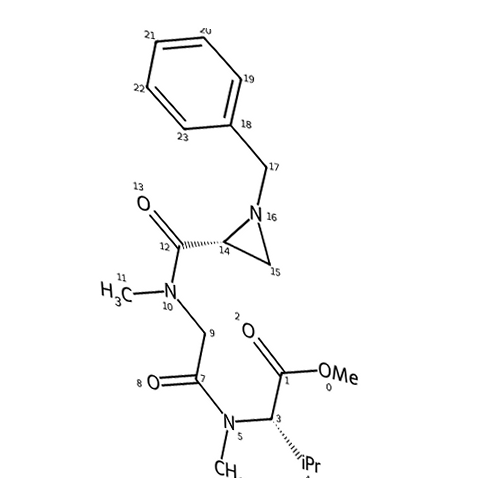 COC(=O)[C@H](C(C)C)N(C)C(=O)CN(C)C(=O)[C@H]1CN1Cc1ccccc1